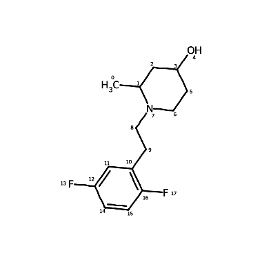 CC1CC(O)CCN1CCc1cc(F)ccc1F